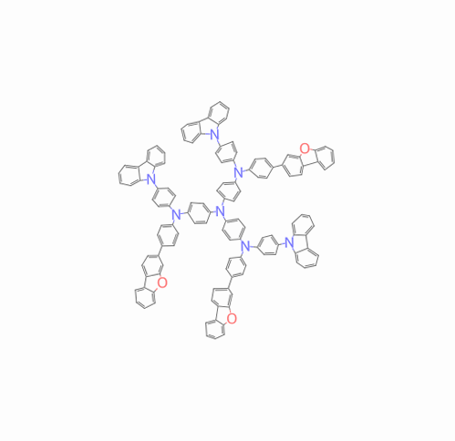 c1ccc2c(c1)oc1cc(-c3ccc(N(c4ccc(N(c5ccc(N(c6ccc(-c7ccc8c(c7)oc7ccccc78)cc6)c6ccc(-n7c8ccccc8c8ccccc87)cc6)cc5)c5ccc(N(c6ccc(-c7ccc8c(c7)oc7ccccc78)cc6)c6ccc(-n7c8ccccc8c8ccccc87)cc6)cc5)cc4)c4ccc(-n5c6ccccc6c6ccccc65)cc4)cc3)ccc12